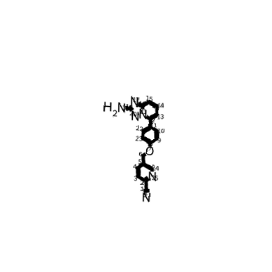 N#Cc1ccc(COc2ccc(-c3cccc4nc(N)nn34)cc2)cn1